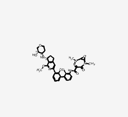 COc1nc(-c2cccc(-c3cccc(NC(=O)C4=NN(C)C5OC5N(C)C4=O)c3Cl)c2Cl)cc2c1[C@H](N[C@@H]1CCOC[C@H]1O)CC2